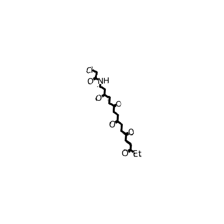 CCC(=O)CCC(=O)CCC(=O)CCC(=O)CCC(=O)C[CH]NC(=O)CCl